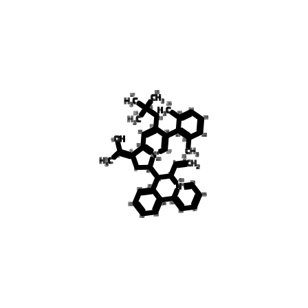 C=CC1C(C2C/C(=C(\C)O)c3cc(CC(C)(C)C)c(-c4c(C)cccc4C)c[n+]32)c2ccccc2-c2cccc[n+]21